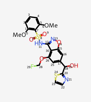 COc1cccc(OC)c1S(=O)(=O)Nc1noc2cc(C(O)c3nccs3)cc(OCF)c12